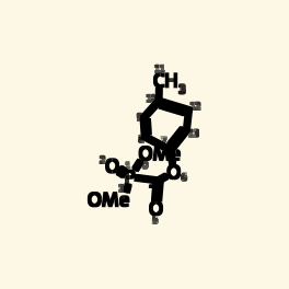 COP(=O)(OC)C(=O)Oc1ccc(C)cc1